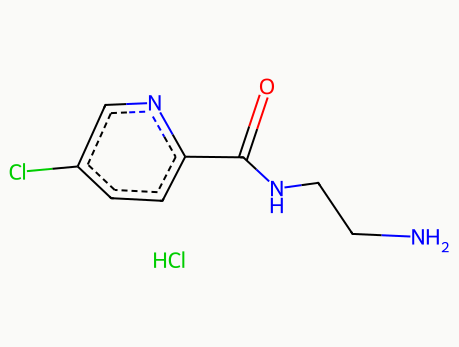 Cl.NCCNC(=O)c1ccc(Cl)cn1